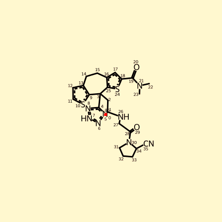 C[C@H](CC1(c2nn[nH]n2)c2sccc2CCc2cc(C(=O)N(C)C)sc21)NCC(=O)N1CCCC1C#N